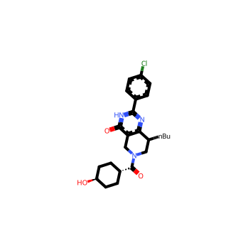 CCCCC1CN(C(=O)[C@H]2CC[C@H](O)CC2)Cc2c1nc(-c1ccc(Cl)cc1)[nH]c2=O